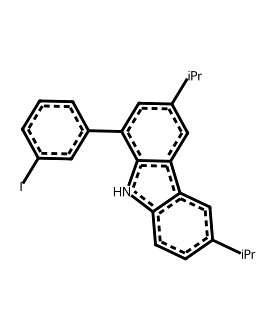 CC(C)c1ccc2[nH]c3c(-c4cccc(I)c4)cc(C(C)C)cc3c2c1